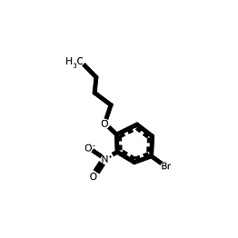 CCCCOc1ccc(Br)cc1[N+](=O)[O-]